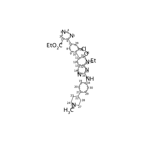 CCOC(=O)c1cncnc1-c1ccc(-c2cc3cnc(Nc4ccc(C5CCN(C)CC5)cc4)nc3n(CC)c2=O)c(Cl)c1